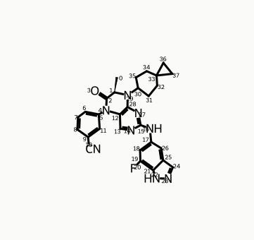 C[C@@H]1C(=O)N(c2cccc(C#N)c2)c2cnc(Nc3cc(F)c4[nH]ncc4c3)nc2N1C1CCC2(CC1)CC2